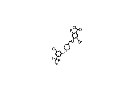 O=C(Cl)c1cc(C2CC2)c(OCC2CCN(Cc3cc(Cl)cc(C(F)(F)CF)c3)CC2)cc1F